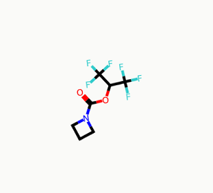 O=C(OC(C(F)(F)F)C(F)(F)F)N1CCC1